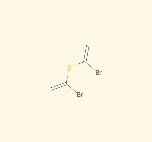 C=C(Br)SC(=C)Br